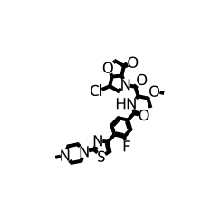 COC(C)C(NC(=O)c1ccc(-c2csc(N3CCN(C)CC3)n2)c(F)c1)C(=O)N1CC(Cl)C2OCC(=O)C21